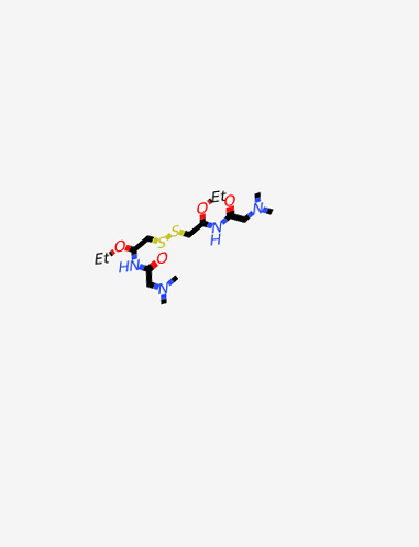 CCOC(CSSCC(NC(=O)CN(C)C)OCC)NC(=O)CN(C)C